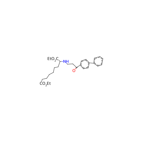 CCOC(=O)CCCCCCC(NCCC(=O)c1ccc(-c2ccccc2)cc1)C(=O)OCC